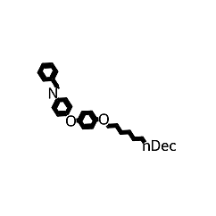 CCCCCCCCCCCCCCCCOc1ccc(Oc2ccc(N=Cc3ccccc3)cc2)cc1